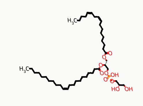 CCCC/C=C\C/C=C\CCCCCCCC(=O)OC[C@H](COP(=O)(O)OC[C@@H](O)CO)OC(=O)CCCCCCCCC/C=C\CCCCCCCCCC